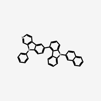 c1ccc(-n2c3ccc(-c4cccc5c4c4ccccc4n5-c4ccc5ccccc5c4)cc3c3ccncc32)cc1